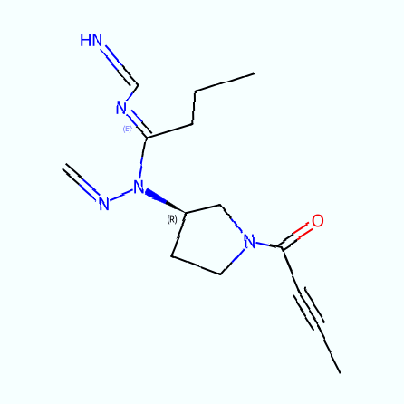 C=NN(/C(CCC)=N/C=N)[C@@H]1CCN(C(=O)C#CC)C1